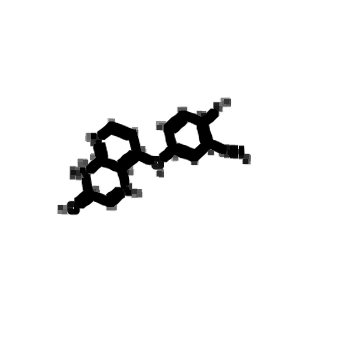 Nc1cc(Oc2ccnc3[nH]c(=O)cnc23)ccc1F